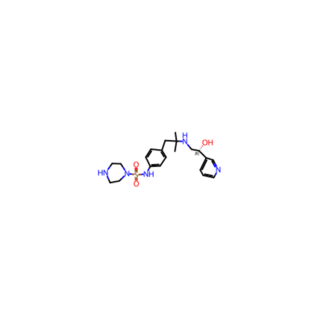 CC(C)(Cc1ccc(NS(=O)(=O)N2CCNCC2)cc1)NC[C@H](O)c1cccnc1